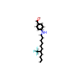 CCCCC(CCCCCCNc1ccc(C=O)cc1)C(F)(F)F